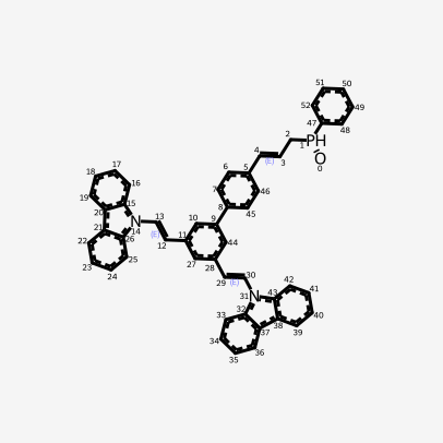 O=[PH](C/C=C/c1ccc(-c2cc(/C=C/n3c4ccccc4c4ccccc43)cc(/C=C/n3c4ccccc4c4ccccc43)c2)cc1)c1ccccc1